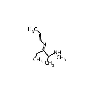 C/C=C/N=C(\CC)C(C)NC